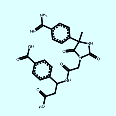 CC1(c2ccc(C(=N)N)cc2)NC(=O)N(CC(=O)NC(CC(=O)O)c2ccc(C(=O)O)cc2)C1=O